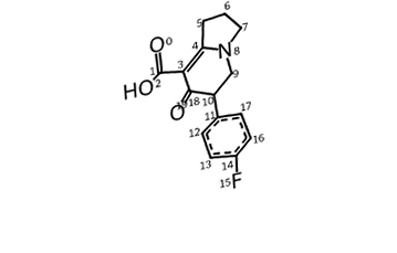 O=C(O)C1=C2CCCN2CC(c2ccc(F)cc2)C1=O